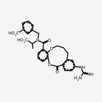 CC(C(=O)O)N(Cc1cccc(C(=O)O)c1)C(=O)c1cccc2c1OCCCc1cc(NC(=N)N)ccc1C(=O)O2